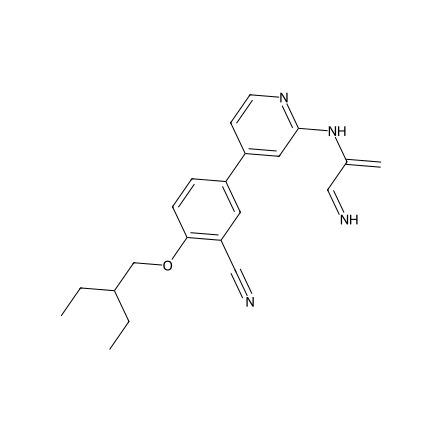 C=C(C=N)Nc1cc(-c2ccc(OCC(CC)CC)c(C#N)c2)ccn1